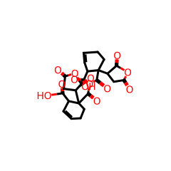 O=C1CC(C2(C(=O)OC(=O)C3(C4CC(=O)OC4=O)CCC=CC3C(=O)O)CCC=CC2C(=O)O)C(=O)O1